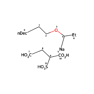 CCCCCCCCCCCCO[CH]([Na])CC.O=C(O)CC(C(=O)O)S(=O)(=O)O